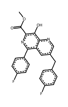 COC(=O)c1nc(-c2ccc(F)cc2)c2cc(Cc3ccc(F)cc3)cnc2c1O